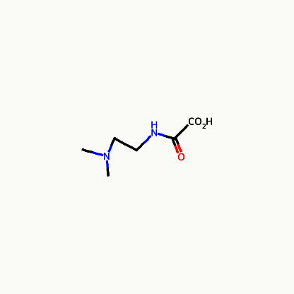 CN(C)CCNC(=O)C(=O)O